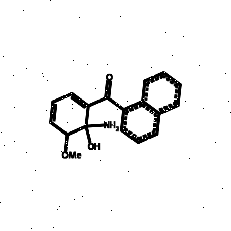 COC1C=CC=C(C(=O)c2cccc3ccccc23)C1(N)O